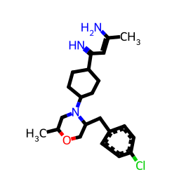 C/C(N)=C/C(=N)C1CCC(N2CC(C)OCC2Cc2ccc(Cl)cc2)CC1